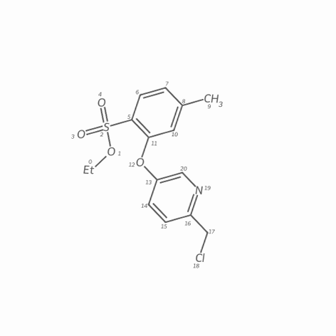 CCOS(=O)(=O)c1ccc(C)cc1Oc1ccc(CCl)nc1